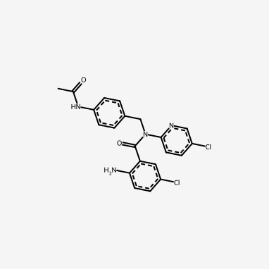 CC(=O)Nc1ccc(CN(C(=O)c2cc(Cl)ccc2N)c2ccc(Cl)cn2)cc1